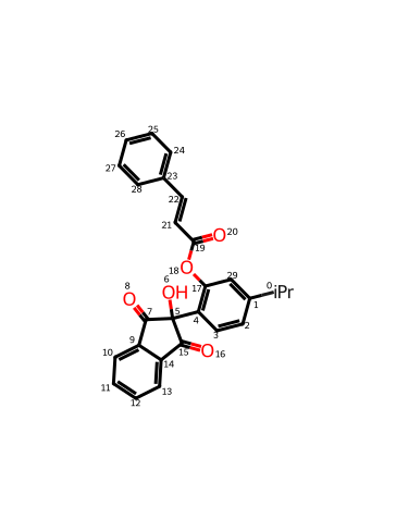 CC(C)c1ccc(C2(O)C(=O)c3ccccc3C2=O)c(OC(=O)C=Cc2ccccc2)c1